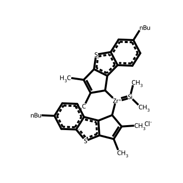 CCCCc1ccc2c3c(sc2c1)C(C)=C(C)[CH]3[Zr+]([CH]1C(C)=C(C)c2sc3cc(CCCC)ccc3c21)=[Si](C)C.[Cl-]